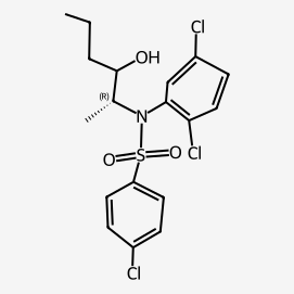 CCCC(O)[C@@H](C)N(c1cc(Cl)ccc1Cl)S(=O)(=O)c1ccc(Cl)cc1